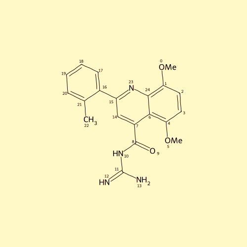 COc1ccc(OC)c2c(C(=O)NC(=N)N)cc(-c3ccccc3C)nc12